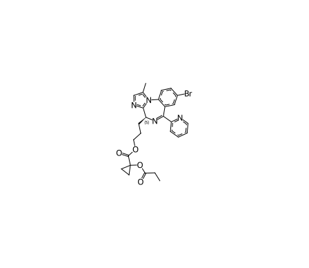 CCC(=O)OC1(C(=O)OCCC[C@@H]2N=C(c3ccccn3)c3cc(Br)ccc3-n3c(C)cnc32)CC1